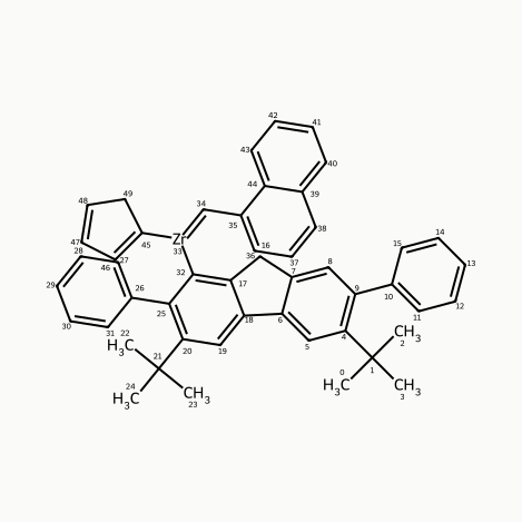 CC(C)(C)c1cc2c(cc1-c1ccccc1)Cc1c-2cc(C(C)(C)C)c(-c2ccccc2)[c]1/[Zr](=[CH]\c1cccc2ccccc12)[C]1=CC=CC1